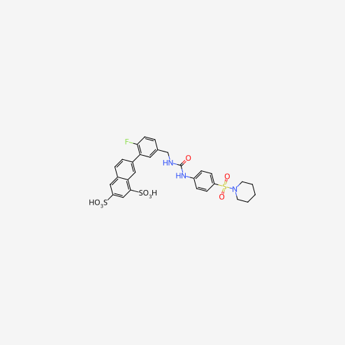 O=C(NCc1ccc(F)c(-c2ccc3cc(S(=O)(=O)O)cc(S(=O)(=O)O)c3c2)c1)Nc1ccc(S(=O)(=O)N2CCCCC2)cc1